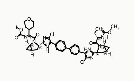 CC[C@H](NC(=O)OC)C(=O)N1[C@@H]2C[C@@H]2C[C@H]1c1nc(Cl)c(-c2ccc(-c3ccc(-c4[nH]c([C@@H]5C[C@H]6C[C@H]6N5C(=O)[C@@H](NC(=O)OI)C5CCOCC5)nc4Cl)cc3)cc2)[nH]1